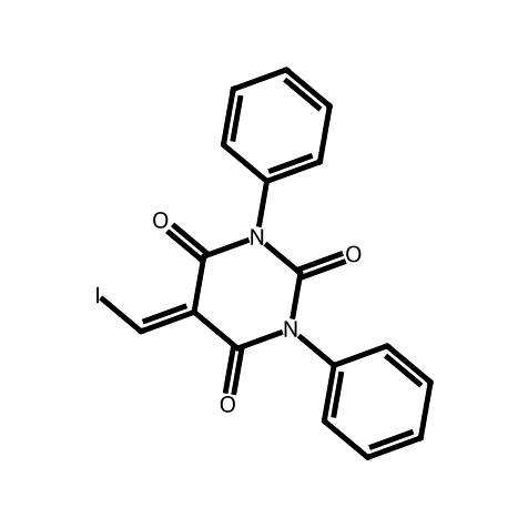 O=C1C(=CI)C(=O)N(c2ccccc2)C(=O)N1c1ccccc1